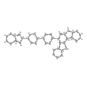 c1ccc2c(c1)sc1c2c(-c2ccc(-c3ccc(-c4nc5ccccn5n4)cc3)cc2)nc2sc3ccccc3c21